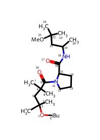 CCC(C)OC(C)(C)CC(C)(C)C(=O)N1CCCC1C(=O)NC(C)CC(C)(C)OC